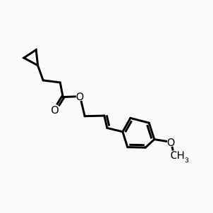 COc1ccc(C=CCOC(=O)CCC2CC2)cc1